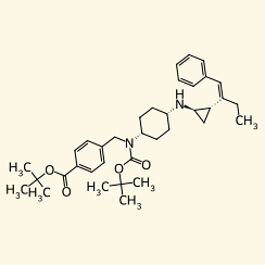 CCC(=Cc1ccccc1)[C@@H]1C[C@H]1N[C@H]1CC[C@@H](N(Cc2ccc(C(=O)OC(C)(C)C)cc2)C(=O)OC(C)(C)C)CC1